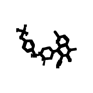 Cc1ccc2c(n1)c(N1CC[C@@H](Nc3ccc(OC(F)(F)F)cc3)[C@@H](C)C1)c(C#N)c(=O)n2C